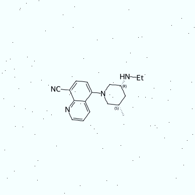 CCN[C@@H]1C[C@H](C)CN(c2ccc(C#N)c3ncccc23)C1